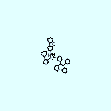 c1ccc(C(=C(c2ccccc2)c2cccc(-c3nc(-c4ccc5c(c4)oc4ccccc45)nc(-c4ccccc4-c4ccccc4)n3)c2)c2ccccc2)cc1